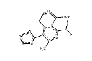 COC(=O)c1c(C(F)F)nc(C(F)(F)F)c(-c2ncco2)c1CC(C)C